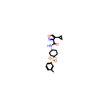 Cc1cccc(S(=O)(=O)[C@]2(F)CC[C@H](NC(=O)c3nocc3C3CC3)CC2)c1